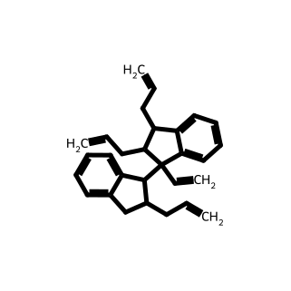 C=CCC1Cc2ccccc2C1C1(C=C)c2ccccc2C(CC=C)C1CC=C